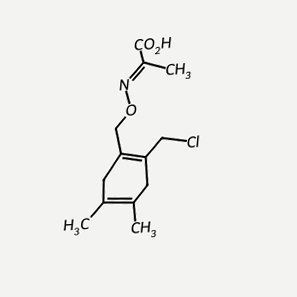 CC(=NOCC1=C(CCl)CC(C)=C(C)C1)C(=O)O